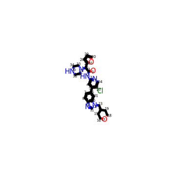 O=C(Nc1cc(-c2ccc3ncn(CC4CCOCC4)c3c2)c(Cl)cn1)C(c1ccco1)N1CCNCC1